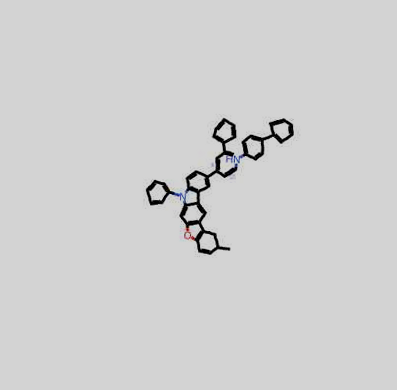 C=C(/C=C(\C=C/Nc1ccc(-c2ccccc2)cc1)c1ccc2c(c1)c1cc3c4c(oc3cc1n2-c1ccccc1)C=CC(C)C4)c1ccccc1